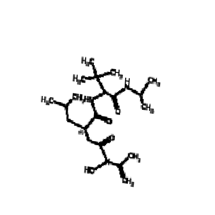 C=C(C)N(O)C(=O)C[C@@H](CC(C)C)C(=O)NC(C(=O)NC(C)C)C(C)(C)C